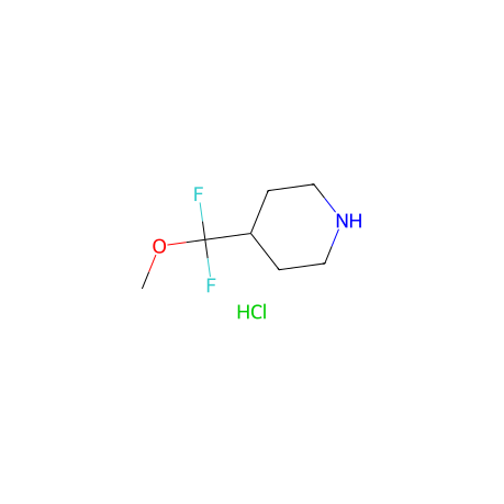 COC(F)(F)C1CCNCC1.Cl